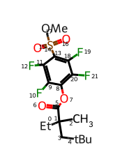 CCC(C)(CC(C)(C)C)C(=O)Oc1c(F)c(F)c(S(=O)(=O)OC)c(F)c1F